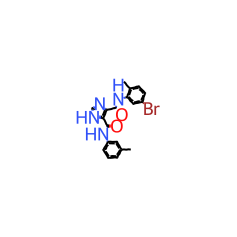 Cc1cccc(NC(=O)c2[nH]cnc2C(=O)Nc2cc(Br)ccc2C)c1